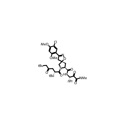 CCC[C@H](NC(=O)[C@@H]1C[C@]2(CC(c3cc(Cl)c(OC)cc3OC)=NO2)CN1C(=O)[C@@H](CC(=O)CC(C)(C)C)C(C)(C)C)C(=O)C(=O)NC